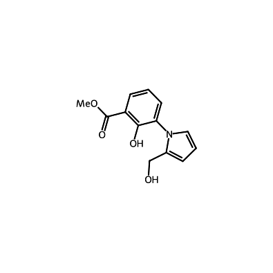 COC(=O)c1cccc(-n2cccc2CO)c1O